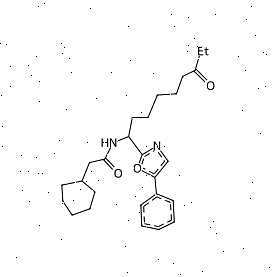 CCC(=O)CCCCCC(NC(=O)CC1CCCCC1)c1ncc(-c2ccccc2)o1